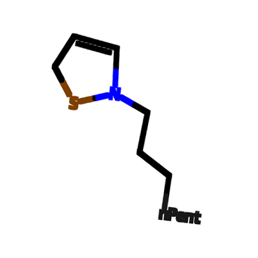 CCCCCCCCN1C=CCS1